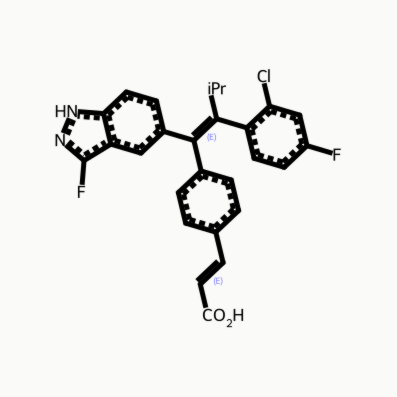 CC(C)/C(=C(/c1ccc(/C=C/C(=O)O)cc1)c1ccc2[nH]nc(F)c2c1)c1ccc(F)cc1Cl